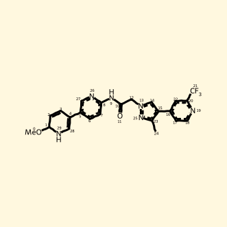 COC1C=CC(c2ccc(NC(=O)Cn3cc(-c4ccnc(C(F)(F)F)c4)c(C)n3)nc2)=CN1